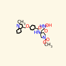 COC(=O)N1CCC(CC(=O)NO)(NC(=O)c2ccc(OCc3cc(C)nc4ccccc34)cc2)CC1